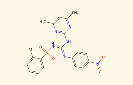 Cc1cc(C)nc(NC(=Nc2ccc([N+](=O)[O-])cc2)NS(=O)(=O)c2ccccc2Cl)n1